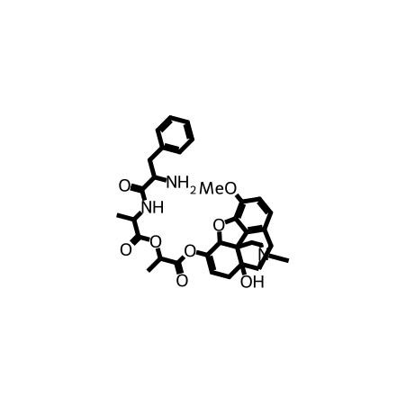 COc1ccc2c3c1OC1C(OC(=O)C(C)OC(=O)C(C)NC(=O)C(N)Cc4ccccc4)=CCC4(O)C(C2)N(C)CCC314